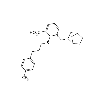 O=C(O)C1=CC=CN(CC2CC3CCC2C3)C1SCCCc1ccc(C(F)(F)F)cc1